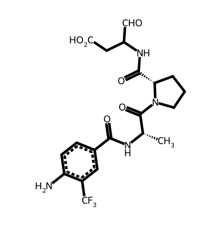 C[C@H](NC(=O)c1ccc(N)c(C(F)(F)F)c1)C(=O)N1CCC[C@H]1C(=O)NC(C=O)CC(=O)O